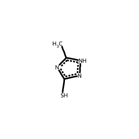 Cc1nc(S)n[nH]1